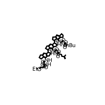 C=C(C)CCS(=O)(=O)NC(=O)Nc1c2c(cc3c1C(C1CCc4c1cc1c(c4NC(=O)NS(=O)(=O)CCOCC)CCC1)CC3)C(C1CCc3cc4c(c(NC(=O)NS(=O)(=O)CCCC)c31)CCC4)CC2